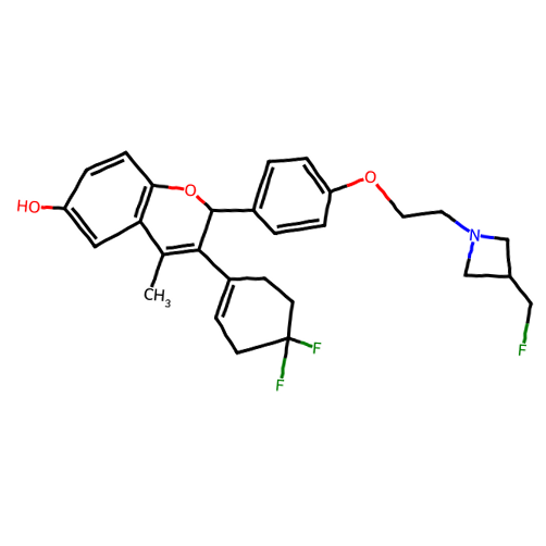 CC1=C(C2=CCC(F)(F)CC2)C(c2ccc(OCCN3CC(CF)C3)cc2)Oc2ccc(O)cc21